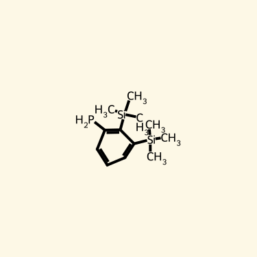 C[Si](C)(C)c1cccc(P)c1[Si](C)(C)C